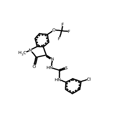 CN1C(=O)/C(=N\NC(=S)Nc2cccc(Cl)c2)c2cc(OC(F)(F)F)ccc21